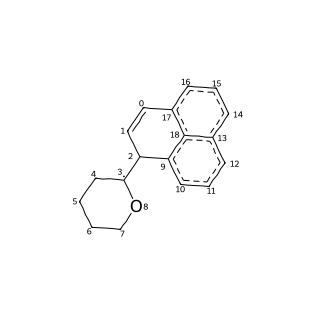 C1=CC([C]2CCCCO2)c2cccc3cccc1c23